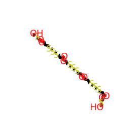 O=C(CCSCSCSCCCOOCSCO)OCCSCSCSCCOOCCCSCSCSCCC(=O)OCSCO